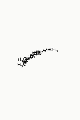 CCCCCC=CCC(=O)Oc1ccc(-c2ccc(CCC(C)OC(=O)CC)cc2)nc1